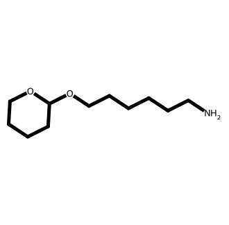 NCCCCCCOC1CCCCO1